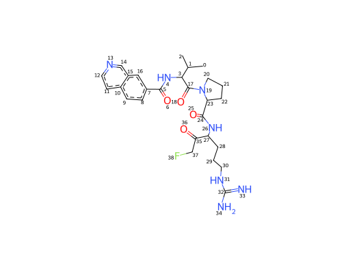 CC(C)C(NC(=O)c1ccc2ccncc2c1)C(=O)N1CCCC1C(=O)NC(CCCNC(=N)N)C(=O)CF